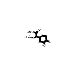 CCCCCCSC(C(=O)OC)c1ccc(Cl)c(Cl)c1